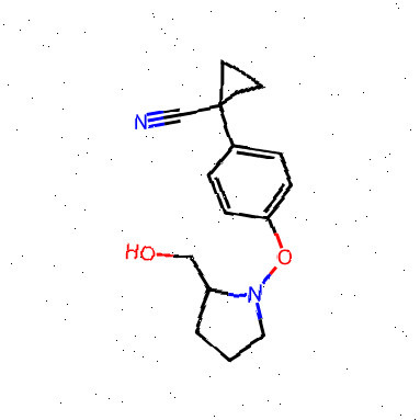 N#CC1(c2ccc(ON3CCCC3CO)cc2)CC1